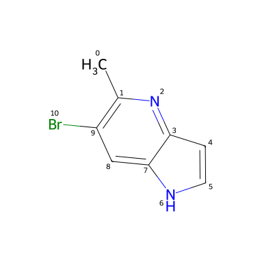 Cc1nc2cc[nH]c2cc1Br